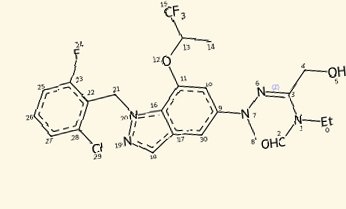 CCN(C=O)/C(CO)=N\N(C)c1cc(OC(C)C(F)(F)F)c2c(cnn2Cc2c(F)cccc2Cl)c1